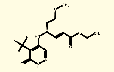 CCOC(=O)/C=C/[C@H](CCOC)Nc1cn[nH]c(=O)c1C(F)(F)F